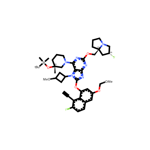 C#Cc1c(F)ccc2cc(OCOC)cc(Oc3nc4nc(OC[C@@]56CCCN5C[C@H](F)C6)nc(N5CCC[C@@](C)(O[Si](C)(C)C(C)(C)C)C5)c4n3C3CC(OC)C3)c12